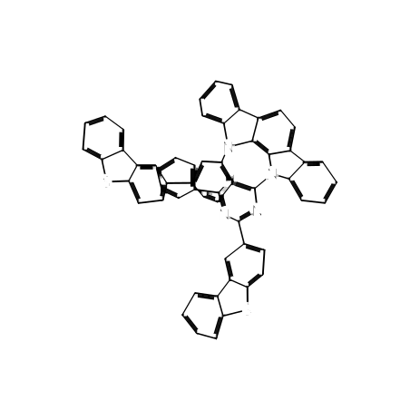 c1ccc(-c2nc(-c3ccc4sc5ccccc5c4c3)nc(-n3c4ccccc4c4ccc5c6ccccc6n(-c6cccc(-c7ccc8sc9ccccc9c8c7)c6)c5c43)n2)cc1